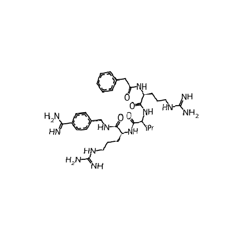 CC(C)C(NC(=O)[C@H](CCCNC(=N)N)NC(=O)Cc1ccccc1)C(=O)N[C@@H](CCCNC(=N)N)C(=O)NCc1ccc(C(=N)N)cc1